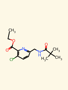 CCOC(=O)c1nc(CNC(=O)C(C)(C)C)ccc1Cl